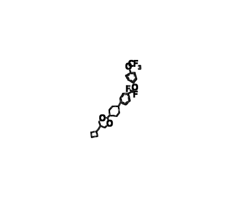 FC(F)(F)Oc1ccc(OC(F)(F)c2ccc(C3CCC(C4OCC(C5CCC5)CO4)CC3)cc2)cc1